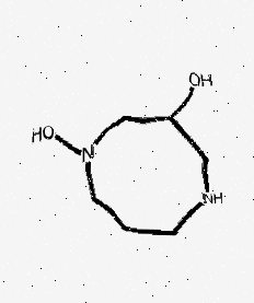 OC1CNCCCN(O)C1